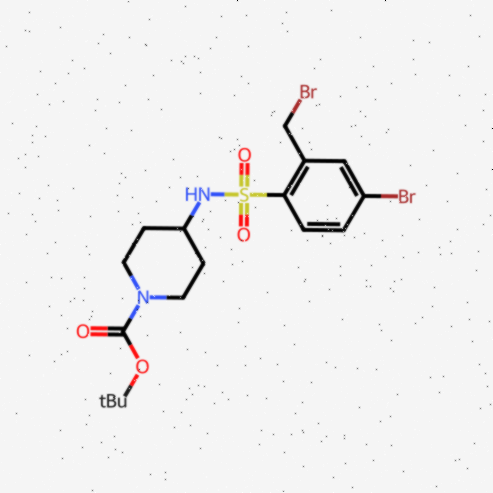 CC(C)(C)OC(=O)N1CCC(NS(=O)(=O)c2ccc(Br)cc2CBr)CC1